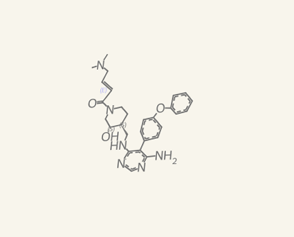 CN(C)C/C=C/C(=O)N1CC[C@@H](CNc2ncnc(N)c2-c2ccc(Oc3ccccc3)cc2)[C@H](O)C1